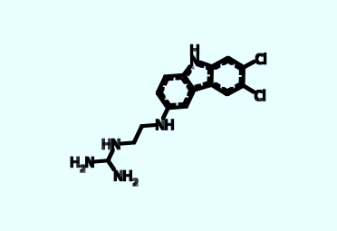 NC(N)NCCNc1ccc2[nH]c3cc(Cl)c(Cl)cc3c2c1